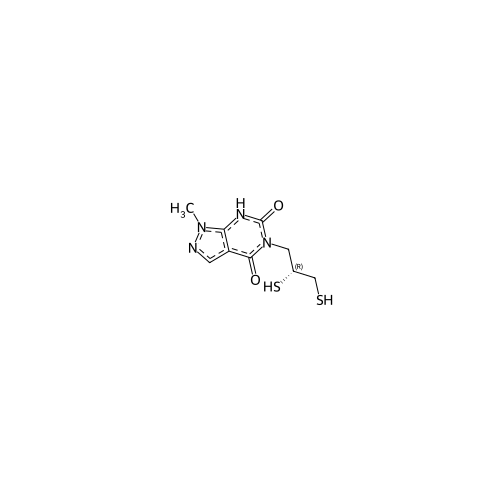 Cn1ncc2c(=O)n(C[C@@H](S)CS)c(=O)[nH]c21